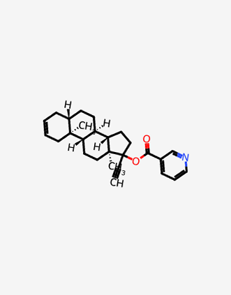 C#CC1(OC(=O)c2cccnc2)CC[C@H]2[C@@H]3CC[C@H]4CC=CC[C@]4(C)[C@H]3CC[C@@]21C